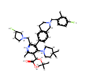 Cc1cc(F)ccc1CN1CCc2cc(-c3c(CN4CC[C@@H](F)C4)nc(C)c(C(OC(C)(C)C)C(=O)O)c3N3CCC(C)(C)CC3)ccc2C1